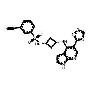 N#Cc1cccc(S(=O)(=O)N[C@H]2C[C@@H](Nc3c(-c4nncs4)cnc4[nH]ccc34)C2)c1